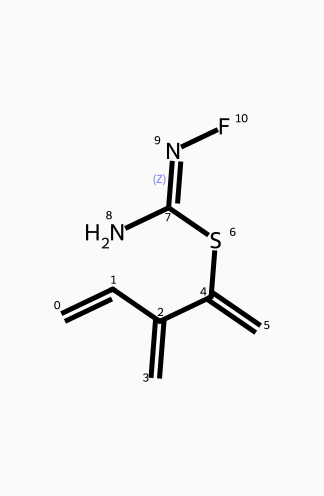 C=CC(=C)C(=C)S/C(N)=N\F